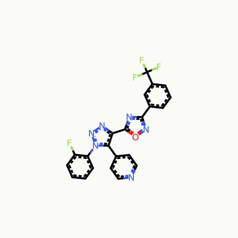 Fc1ccccc1-n1nnc(-c2nc(-c3cccc(C(F)(F)F)c3)no2)c1-c1ccncc1